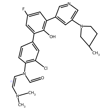 CC1CCN(c2cncc(-c3cc(F)cc(-c4ccc(N(C=O)/C=C\N(C)C)c(Cl)c4)c3O)c2)C1